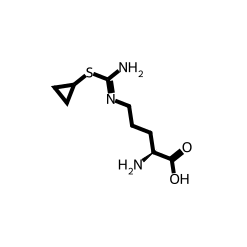 NC(=NCCC[C@H](N)C(=O)O)SC1CC1